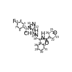 C[C@H](c1ccc(F)cc1)n1cncc1CNCC(NC(=O)C1CCOCC1)c1ccccc1